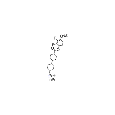 CCC/C(F)=C/C1CCC(C2CCC(C(=O)Oc3ccc(OCC)c(F)c3F)CC2)CC1